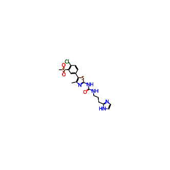 Cc1nc(NC(=O)NCCCc2ncc[nH]2)sc1-c1ccc(Cl)c(S(C)(=O)=O)c1